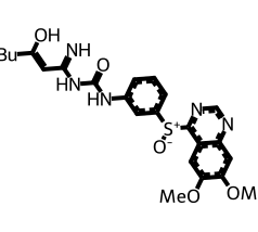 COc1cc2ncnc([S+]([O-])c3cccc(NC(=O)NC(=N)/C=C(\O)C(C)(C)C)c3)c2cc1OC